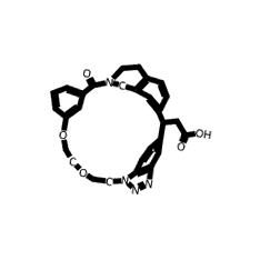 O=C(O)CC1c2ccc3c(c2)CN(CC3)C(=O)c2cccc(c2)OCCOCCn2nnc3cc1ccc32